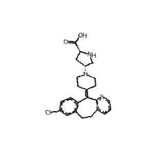 O=C(O)[C@@H]1C[C@@H](N2CCC(=C3c4ccc(Cl)cc4CCc4cccnc43)CC2)CN1